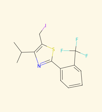 CC(C)c1nc(-c2ccccc2C(F)(F)F)sc1CI